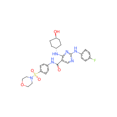 O=C(Nc1ccc(S(=O)(=O)N2CCOCC2)cc1)c1cnc(Nc2ccc(F)cc2)nc1N[C@H]1CC[C@H](O)CC1